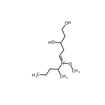 CCCC(C)/[N+](=C/CC(O)CCO)OC